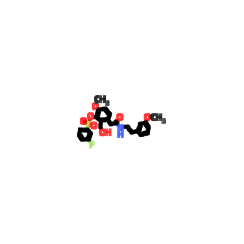 COc1cccc(CCNC(=O)Cc2ccc(OC)c(OS(=O)(=O)c3cccc(F)c3)c2CO)c1